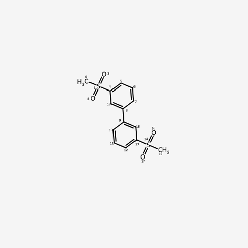 CS(=O)(=O)c1cccc(-c2cccc(S(C)(=O)=O)c2)c1